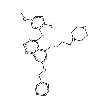 COc1ccc(Cl)c(Nc2ncnc3cc(OCc4ccccc4)cc(OCCCN4CCOCC4)c23)c1